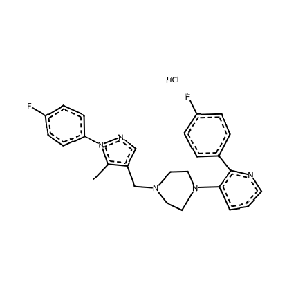 Cc1c(CN2CCN(c3cccnc3-c3ccc(F)cc3)CC2)cnn1-c1ccc(F)cc1.Cl